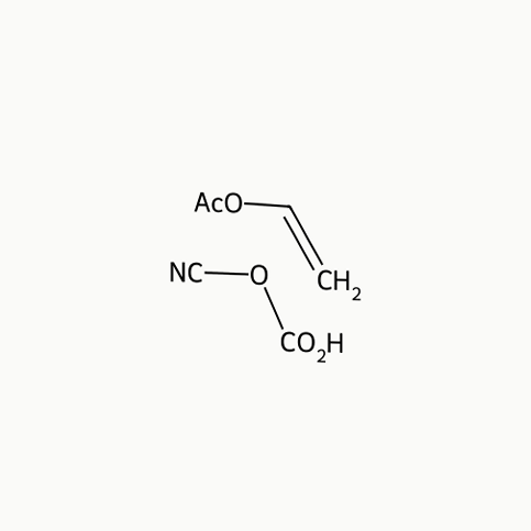 C=COC(C)=O.N#COC(=O)O